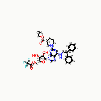 CCOC(=O)[C@@H]1CCCN(c2nc(NCC(c3ccccc3)c3ccccc3)c3ncn([C@@H]4O[C@H](COC(=O)C(F)(F)F)[C@@H](O)[C@H]4O)c3n2)C1